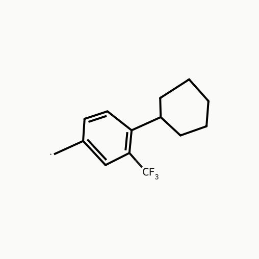 [CH2]c1ccc(C2CCCCC2)c(C(F)(F)F)c1